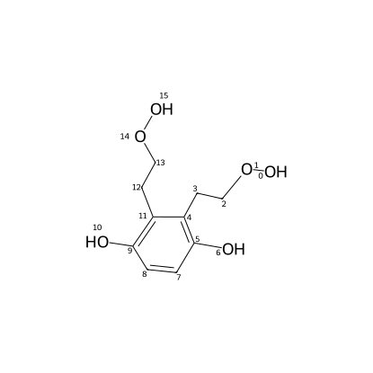 OOCCc1c(O)ccc(O)c1CCOO